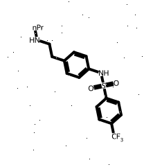 CCCNCCc1ccc(NS(=O)(=O)c2ccc(C(F)(F)F)cc2)cc1